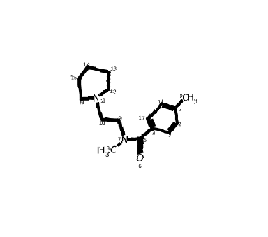 Cc1ccc(C(=O)N(C)CCN2CCCCC2)cc1